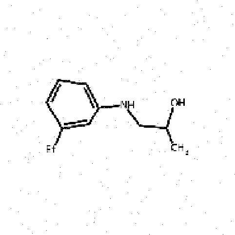 CCc1cccc(NCC(C)O)c1